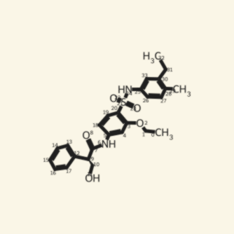 CCOc1cc(NC(=O)[C@@H](CO)c2ccccc2)ccc1S(=O)(=O)Nc1ccc(C)c(CC)c1